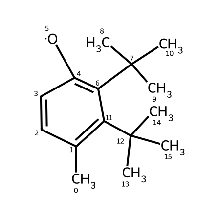 Cc1ccc([O])c(C(C)(C)C)c1C(C)(C)C